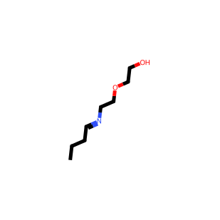 CCCC=NCCOCCO